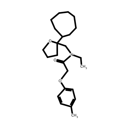 CCN(CC1(C2CCCCCCC2)CCCO1)C(=O)COc1ccc(C)cc1